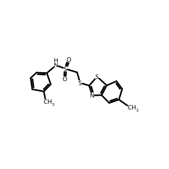 Cc1cccc(NS(=O)(=O)CSc2nc3cc(C)ccc3s2)c1